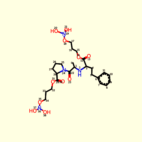 CC(NC(CCc1ccccc1)C(=O)OCCCON(O)O)C(=O)N1CCCC1C(=O)OCCCON(O)O